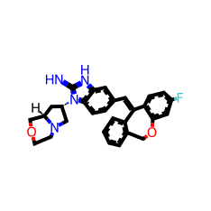 N=c1[nH]c2cc(/C=C3\c4ccccc4COc4cc(F)ccc43)ccc2n1[C@H]1C[C@@H]2COCCN2C1